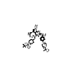 CC(=O)N1CCN(c2ccc(Nc3nc(NCC4CCN(C(=O)OC(C)(C)C)CC4)c4c(C#N)c[nH]c4n3)cc2)CC1